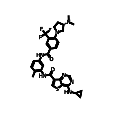 Cc1ccc(NC(=O)c2ccc(N3CC[C@H](N(C)C)C3)c(C(F)(F)F)c2)cc1NC(=O)c1csc2c(NC3CC3)ncnc12